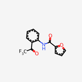 O=C(Nc1ccccc1C(=O)C(F)(F)F)c1ccco1